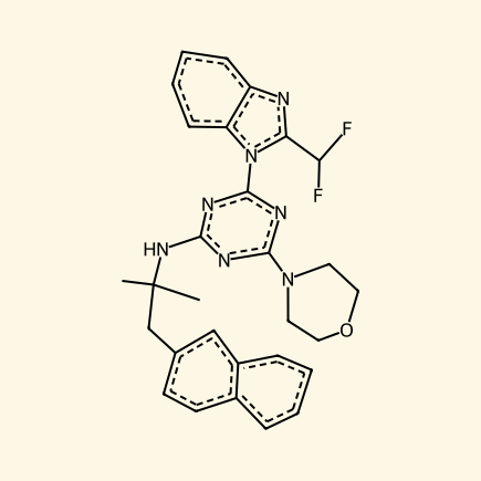 CC(C)(Cc1ccc2ccccc2c1)Nc1nc(N2CCOCC2)nc(-n2c(C(F)F)nc3ccccc32)n1